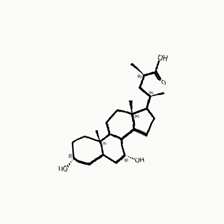 C[C@H](C[C@@H](C)C1CCC2C3C(CC[C@@]21C)[C@@]1(C)CC[C@@H](O)CC1C[C@H]3O)C(=O)O